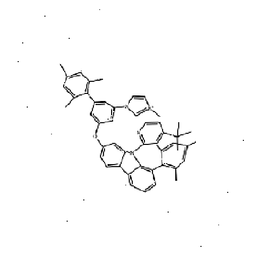 Cc1cc(C)c(-c2cc(Oc3ccc4c5cccc(-c6c(C)cc(C)cc6C)c5n(-c5cc(C(C)(C)C)ccn5)c4c3)cc(-n3cc[n+](C)c3)c2)c(C)c1